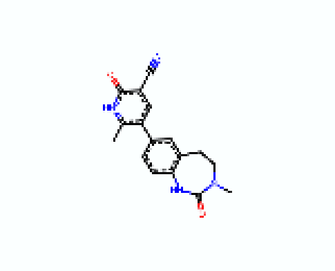 Cc1[nH]c(=O)c(C#N)cc1-c1ccc2c(c1)CCN(C)C(=O)N2